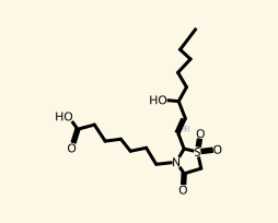 CCCCCC(O)/C=C/C1N(CCCCCCC(=O)O)C(=O)CS1(=O)=O